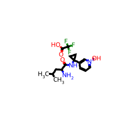 CC(C)CC(N)C(=O)NC1(c2ccc[n+](O)c2)CC1.O=C(O)C(F)(F)F